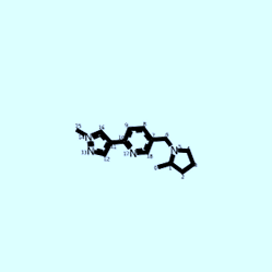 CC1CCCN1Cc1ccc(-c2cnn(C)c2)nc1